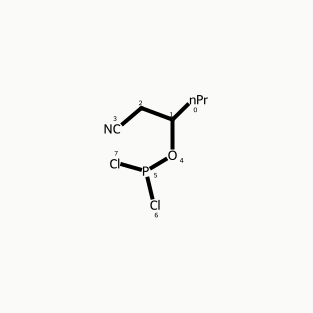 CCCC(CC#N)OP(Cl)Cl